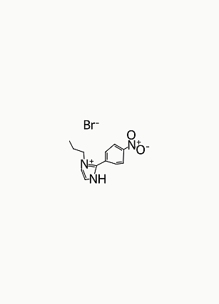 CCC[n+]1cc[nH]c1-c1ccc([N+](=O)[O-])cc1.[Br-]